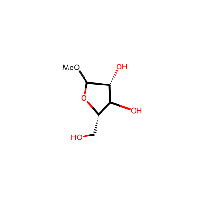 COC1O[C@@H](CO)C(O)[C@H]1O